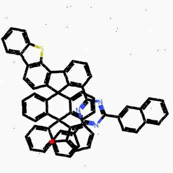 c1ccc(-c2nc(-c3ccc4ccccc4c3)nc(-c3cccc4c3C3(c5ccccc5C5(c6ccccc6-c6ccccc65)c5ccccc53)c3ccc5c(sc6ccccc65)c3-4)n2)cc1